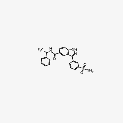 NS(=O)(=O)c1cccc(-c2n[nH]c3ccc(C(=O)NC(c4ccccc4)C(F)(F)F)cc23)c1